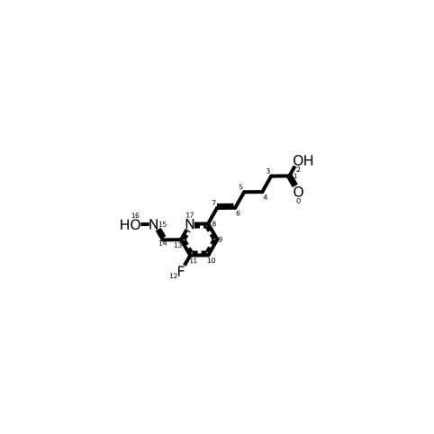 O=C(O)CCC/C=C/c1ccc(F)c(C=NO)n1